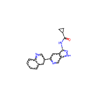 O=C(Nc1n[nH]c2cnc(-c3cnc4ccccc4c3)cc12)C1CC1